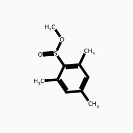 COS(=O)c1c(C)cc(C)cc1C